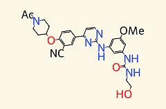 COc1cc(NC(=O)NCCO)cc(Nc2nccc(-c3ccc(OC4CCN(C(C)=O)CC4)c(C#N)c3)n2)c1